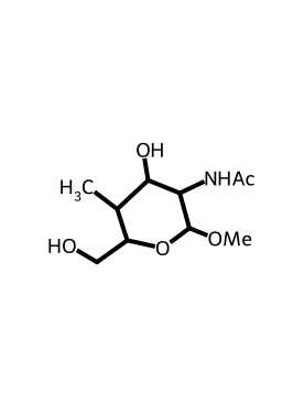 COC1OC(CO)C(C)C(O)C1NC(C)=O